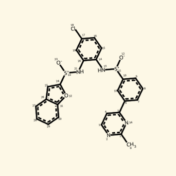 Cc1nccc(-c2cccc([S+]([O-])Nc3ccc(Cl)cc3N[S+]([O-])c3cc4ccccc4o3)c2)n1